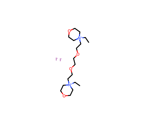 CC[N+]1(CCOCCOCC[N+]2(CC)CCOCC2)CCOCC1.[I-].[I-]